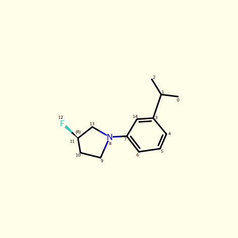 CC(C)c1cccc(N2CC[C@@H](F)C2)c1